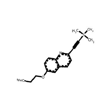 COCCOc1ccc2nc(C#CS(C)(C)C)ccc2c1